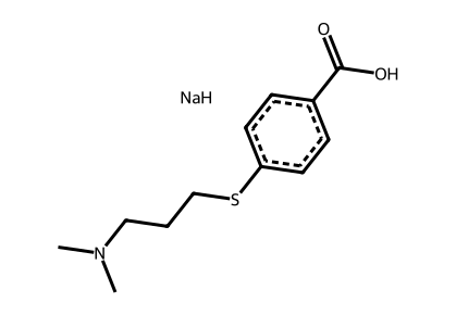 CN(C)CCCSc1ccc(C(=O)O)cc1.[NaH]